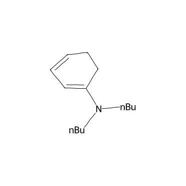 CCCCN(CCCC)C1=CC=CCC1